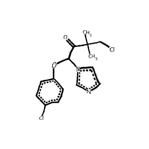 CC(C)(CCl)C(=O)C(Oc1ccc(Cl)cc1)n1ccnc1